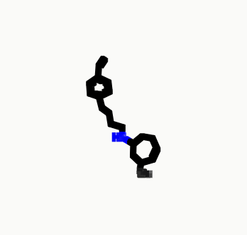 C=Cc1ccc(CCCCNC2CCC=CC(C(C)(C)C)C2)cc1